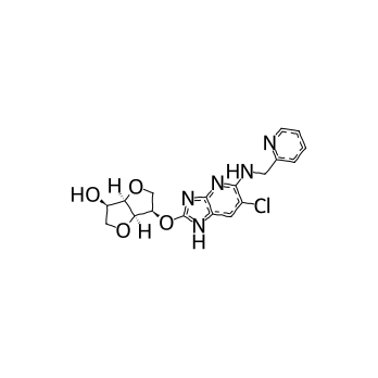 O[C@@H]1CO[C@H]2[C@@H]1OC[C@H]2Oc1nc2nc(NCc3ccccn3)c(Cl)cc2[nH]1